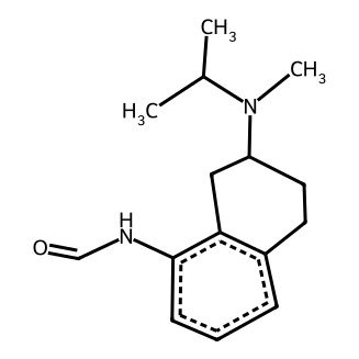 CC(C)N(C)C1CCc2cccc(NC=O)c2C1